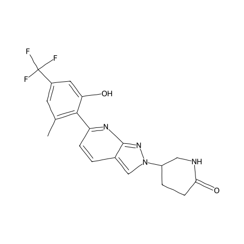 Cc1cc(C(F)(F)F)cc(O)c1-c1ccc2cn(C3CCC(=O)NC3)nc2n1